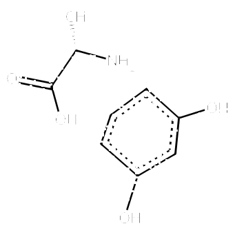 C[C@H](N)C(=O)O.Oc1cccc(O)c1